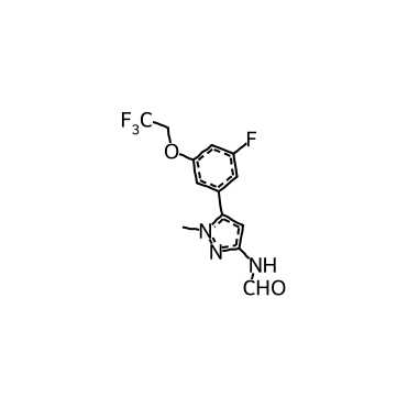 Cn1nc(NC=O)cc1-c1cc(F)cc(OCC(F)(F)F)c1